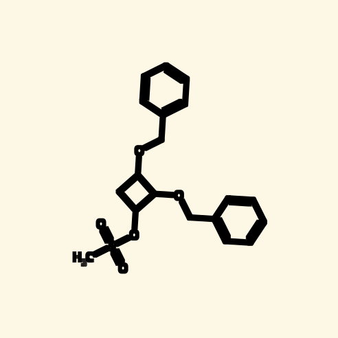 CS(=O)(=O)OC1CC(OCc2ccccc2)C1OCc1ccccc1